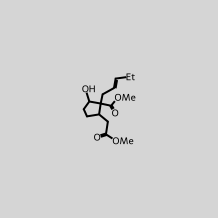 CCC=CCC1(C(=O)OC)C(O)CCC1CC(=O)OC